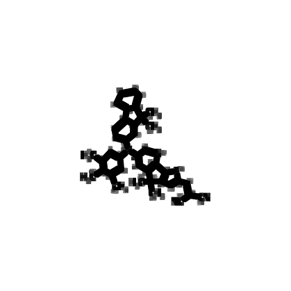 Cc1cc(N(c2ccc3c(c2)C(C)(C)c2ccccc2-3)c2cnc3c(c2)C(C)(C)c2cc(C=C(C#N)C#N)sc2-3)cc(C)c1C